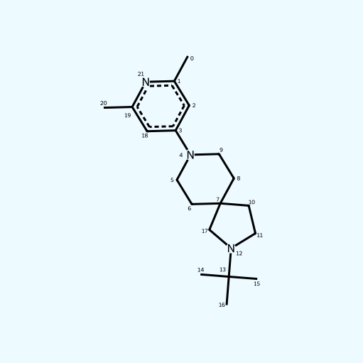 Cc1cc(N2CCC3(CC2)CCN(C(C)(C)C)C3)cc(C)n1